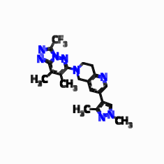 Cc1nn(C)cc1-c1cnc2c(c1)CN(c1nn3c(C(F)(F)F)nnc3c(C)c1C)CC2